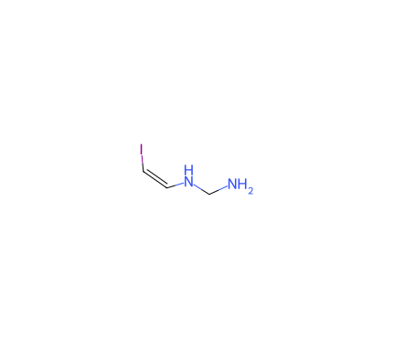 NCN/C=C\I